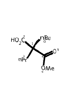 CCCCC(CCC)(C(=O)O)C(=O)OC